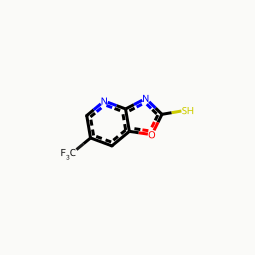 FC(F)(F)c1cnc2nc(S)oc2c1